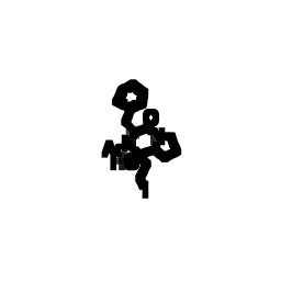 CC(=O)N1[C@@H](Cc2ccccc2)C(=O)N2CCCC2[C@]1(O)CCI